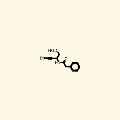 CCC#CC(CC(=O)O)NC(=O)Cc1ccccc1